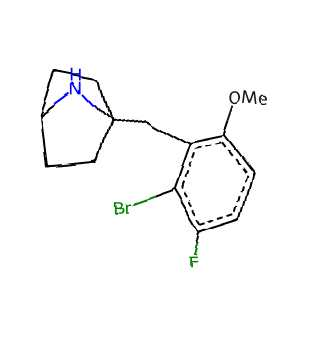 COc1ccc(F)c(Br)c1CC12CCC(CC1)N2